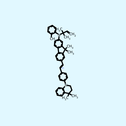 C=CC(C)(C)N(c1ccc2c(c1)C(C)(C)c1cc(/C=C/c3ccc(N4CCC(C)(C)c5ccccc54)cc3)ccc1-2)c1ccccc1C